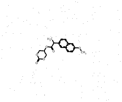 COc1ccc2cc(C(C)C(=O)OC3COC(=O)OC3)ccc2c1